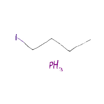 CCCCI.P